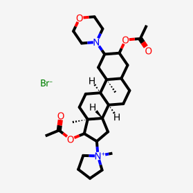 CC(=O)OC1CC2CC[C@@H]3[C@@H](CC[C@]4(C)C(OC(C)=O)C([N+]5(C)CCCC5)C[C@@H]34)[C@@]2(C)CC1N1CCOCC1.[Br-]